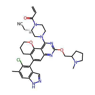 C=CC(=O)N1CCN(c2nc(OCC3CCCN3C)nc3cc(-c4c(Cl)c(C)cc5[nH]ncc45)c4c(c23)OCCC4)C[C@@H]1CC#N